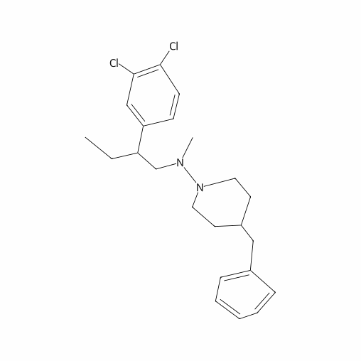 CCC(CN(C)N1CCC(Cc2ccccc2)CC1)c1ccc(Cl)c(Cl)c1